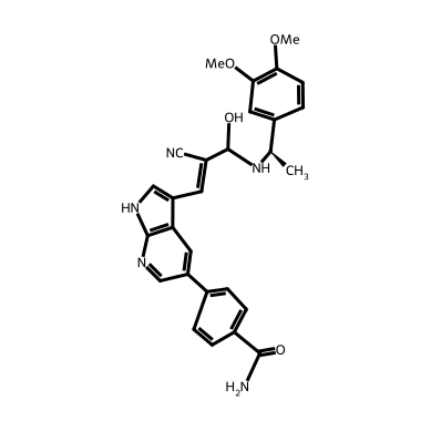 COc1ccc([C@@H](C)NC(O)/C(C#N)=C/c2c[nH]c3ncc(-c4ccc(C(N)=O)cc4)cc23)cc1OC